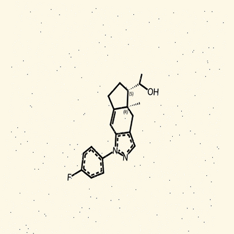 CC(O)[C@H]1CCC2=Cc3c(cnn3-c3ccc(F)cc3)C[C@@]21C